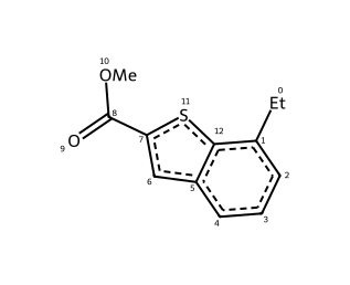 CCc1cccc2cc(C(=O)OC)sc12